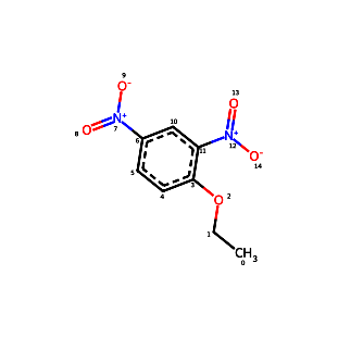 CCOc1ccc([N+](=O)[O-])cc1[N+](=O)[O-]